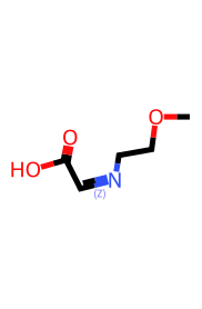 COCC/N=C\C(=O)O